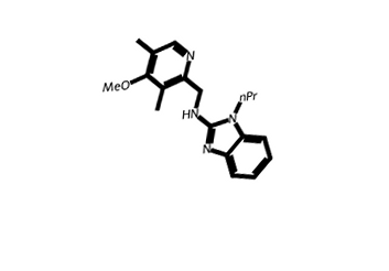 CCCn1c(NCc2ncc(C)c(OC)c2C)nc2ccccc21